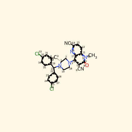 C[C@@H]1CN(c2c(C#N)c(=O)n(C)c3ccc(C#N)nc23)CCN1C(c1ccc(Cl)cc1)c1ccc(Cl)cc1